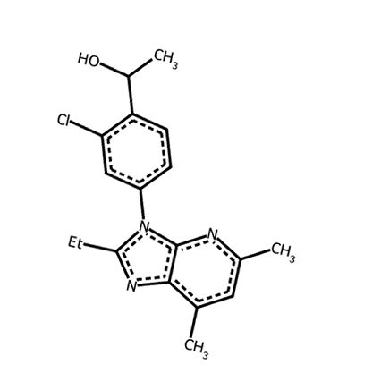 CCc1nc2c(C)cc(C)nc2n1-c1ccc(C(C)O)c(Cl)c1